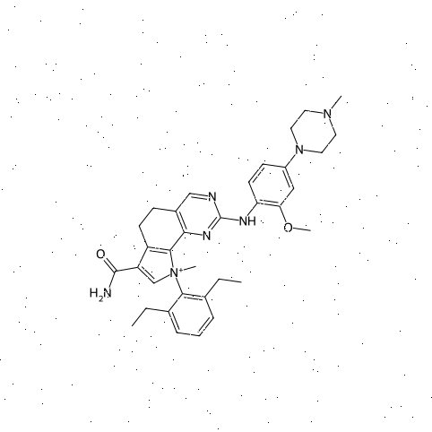 CCc1cccc(CC)c1[N+]1(C)C=C(C(N)=O)C2=C1c1nc(Nc3ccc(N4CCN(C)CC4)cc3OC)ncc1CC2